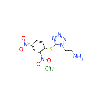 Cl.NCCn1nnnc1Sc1ccc([N+](=O)[O-])cc1[N+](=O)[O-]